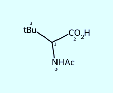 CC(=O)NC(C(=O)O)C(C)(C)C